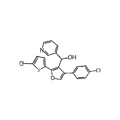 OC(c1cccnc1)c1c(-c2ccc(Cl)cc2)coc1-c1ccc(Cl)s1